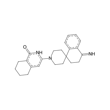 N=C1CCC2(CCN(c3cc4c(c(=O)[nH]3)CCCC4)CC2)c2ccccc21